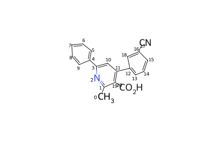 Cc1nc(-c2ccccc2)cc(-c2cccc(C#N)c2)c1C(=O)O